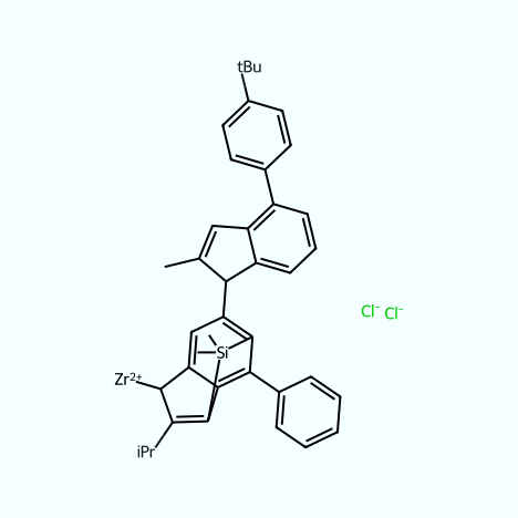 CC1=Cc2c(-c3ccc(C(C)(C)C)cc3)cccc2C1c1cc2c3c(-c4ccccc4)c1[Si](C)(C)C3=C(C(C)C)[CH]2[Zr+2].[Cl-].[Cl-]